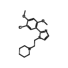 COc1cc(OC)c(-c2nccn2CCN2CCCCC2)cc1Cl